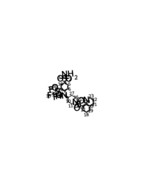 NS(=O)(=O)c1ccc(NC2CCN(S(=O)(=O)c3cccc4cccnc34)CC2)c(S(=O)(=O)C(F)(F)F)c1